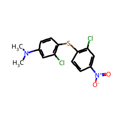 CN(C)c1ccc(Sc2ccc([N+](=O)[O-])cc2Cl)c(Cl)c1